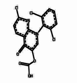 O=C(O)Oc1cn(-c2c(Cl)cccc2Cl)c2nc(Cl)ccc2c1=O